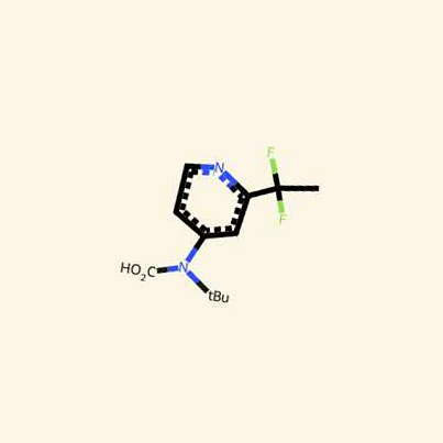 CC(F)(F)c1cc(N(C(=O)O)C(C)(C)C)ccn1